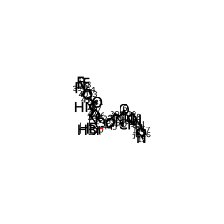 Br.Br.Cn1c(C(=O)N2CCN(Cc3ccncc3)CC2)cc2cc(Oc3ccc(NC(=O)c4ccc(C(F)(F)F)cc4)cn3)ccc21